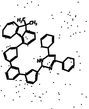 CC1(C)C2=C(C=CCC=C2)c2c(-c3cccc(-c4cccc(-c5cccc(C6N=C(C7=CC=CCC7)C=C(C7C=CC=CC7)N6)c5)c4)c3)cccc21